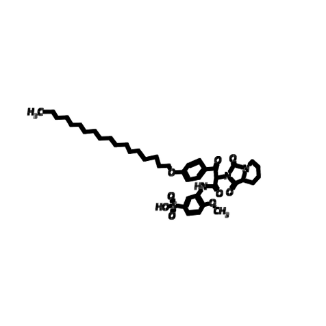 CCCCCCCCCCCCCCCCCCOc1ccc(C(=O)C(C(=O)Nc2cc(S(=O)(=O)O)ccc2OC)N2C(=O)C3CCCCN3C2=O)cc1